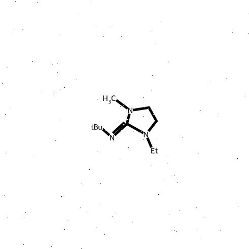 CCN1CCN(C)C1=NC(C)(C)C